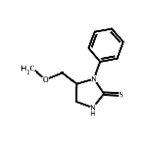 COCC1CNC(=S)N1c1ccccc1